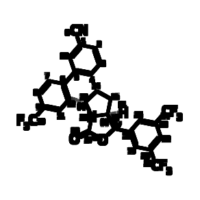 N#Cc1cccc(-c2ccc(C(F)(F)F)cc2[C@@H]2CC[C@H]3C(c4cc(C(F)(F)F)cc(C(F)(F)F)c4)OC(=O)N23)c1